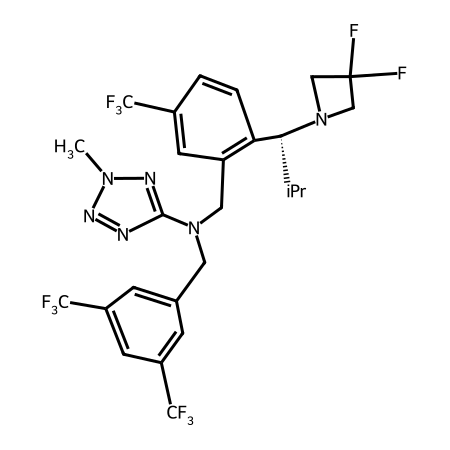 CC(C)[C@H](c1ccc(C(F)(F)F)cc1CN(Cc1cc(C(F)(F)F)cc(C(F)(F)F)c1)c1nnn(C)n1)N1CC(F)(F)C1